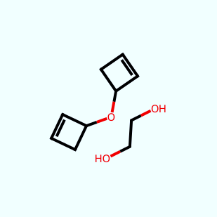 C1=CC(OC2C=CC2)C1.OCCO